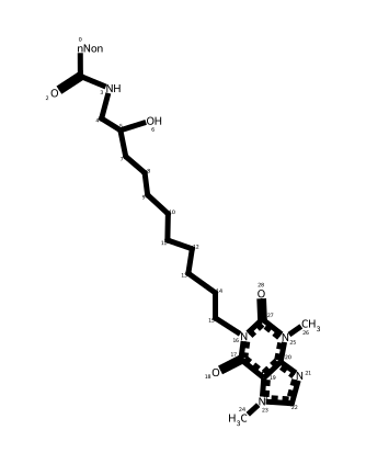 CCCCCCCCCC(=O)NCC(O)CCCCCCCCCn1c(=O)c2c(ncn2C)n(C)c1=O